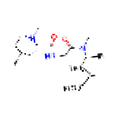 CCOC(=O)/C(C)=C/[C@H](C(C)C)N(C)C(=O)[C@@H](NC(=O)[C@@H]1C[C@@H](C)CCN1C)C(C)(C)C